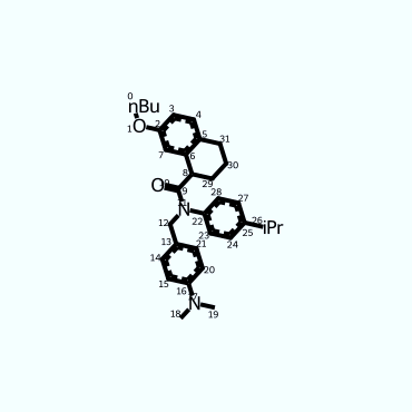 CCCCOc1ccc2c(c1)C(C(=O)N(Cc1ccc(N(C)C)cc1)c1ccc(C(C)C)cc1)CCC2